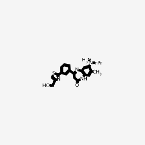 CCCN(C)c1cc2c(cc1C)NC(=O)CC(c1cccc(-c3nc(CO)cs3)c1)=N2